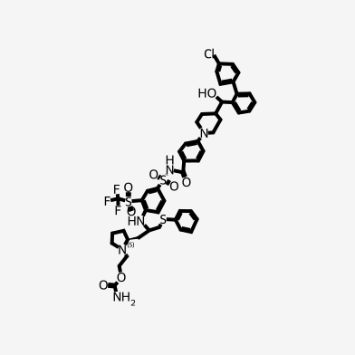 NC(=O)OCCN1CCC[C@H]1CC(CSc1ccccc1)Nc1ccc(S(=O)(=O)NC(=O)c2ccc(N3CCC(C(O)c4ccccc4-c4ccc(Cl)cc4)CC3)cc2)cc1S(=O)(=O)C(F)(F)F